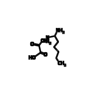 CCCCCC(N)N.O=C(O)C(=O)O